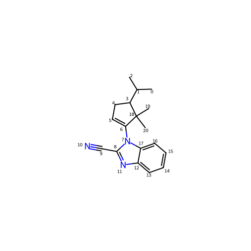 CC(C)C1CC=C(n2c(C#N)nc3ccccc32)C1(C)C